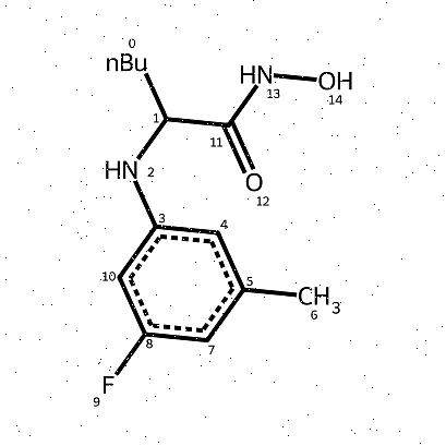 CCCCC(Nc1cc(C)cc(F)c1)C(=O)NO